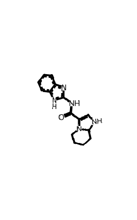 O=C(Nc1nc2ccccc2[nH]1)C1=CNC2CCCCN12